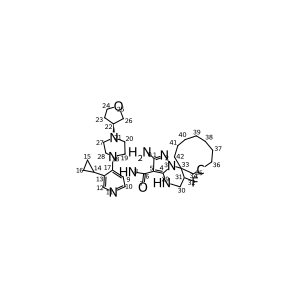 Nc1nn2c(c1C(=O)Nc1cncc(C3CC3)c1N1CCN([C@H]3CCOC3)CC1)NCC(F)C21CCCCCCCCC1